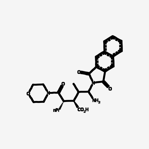 CCC[C@H](C(=O)N1CCOCC1)[C@H](C(=O)O)C(C)C(N)N1C(=O)c2cc3ccccc3cc2C1=O